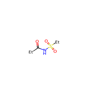 [CH2]CC(=O)NS(=O)(=O)CC